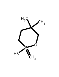 C=P1(S)CCC(C)(C)CO1